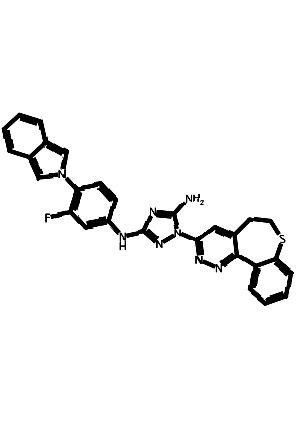 Nc1nc(Nc2ccc(-n3cc4ccccc4c3)c(F)c2)nn1-c1cc2c(nn1)-c1ccccc1SCC2